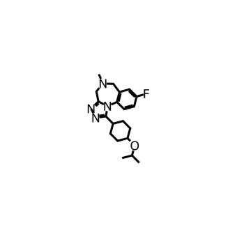 CC(C)OC1CCC(c2nnc3n2-c2ccc(F)cc2CN(C)C3)CC1